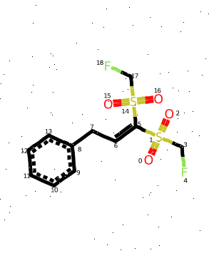 O=S(=O)(CF)C(=CCc1ccccc1)S(=O)(=O)CF